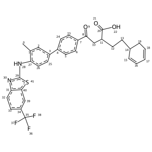 Cc1cc(-c2ccc(C(=O)CC(CCC3C=CC=CC3)C(=O)O)cc2)ccc1Nc1nc2ccc(C(F)(F)F)cc2s1